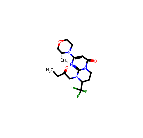 CCC(=O)CN1c2nc(N3CCOC[C@H]3C)cc(=O)n2CCC1C(F)(F)F